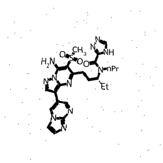 CCCN(C(=O)c1nnc[nH]1)[C@H](CC)CCc1nc2c(-c3cnc4nccn4c3)cnn2c(N)c1S(C)(=O)=O